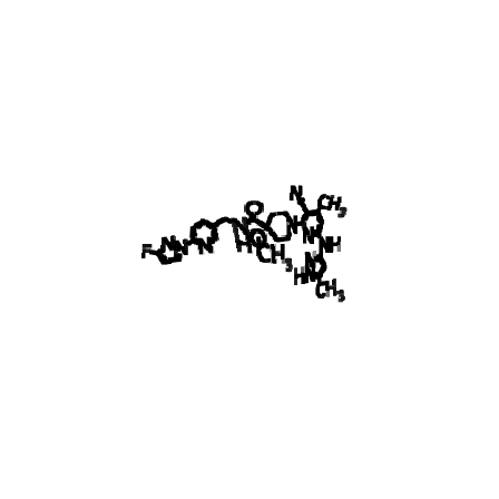 COC1(C(=O)NCc2ccc(-n3ccc(F)n3)nc2)CCN(c2nc(Nc3cc(C)[nH]n3)cc(C)c2C#N)CC1